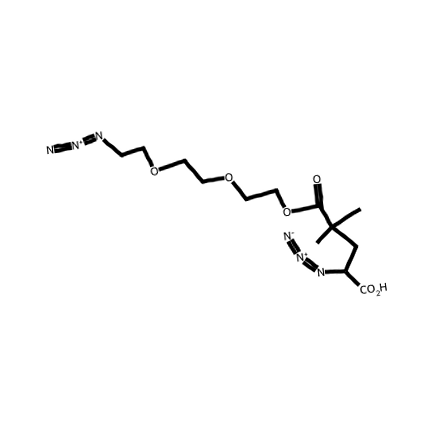 CC(C)(CC(N=[N+]=[N-])C(=O)O)C(=O)OCCOCCOCCN=[N+]=[N-]